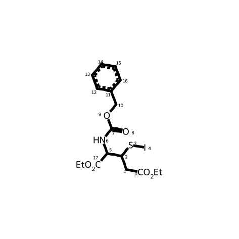 CCOC(=O)CC(SI)C(NC(=O)OCc1ccccc1)C(=O)OCC